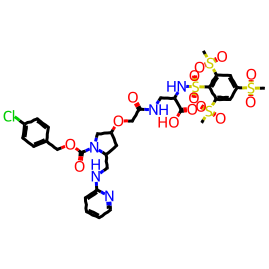 CS(=O)(=O)c1cc(S(C)(=O)=O)c(S(=O)(=O)NC(CNC(=O)COC2CC(CNc3ccccn3)N(C(=O)OCc3ccc(Cl)cc3)C2)C(=O)O)c(S(C)(=O)=O)c1